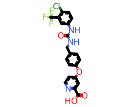 O=C(NCc1ccc(Oc2ccnc(C(=O)O)c2)cc1)Nc1ccc(Cl)c(C(F)(F)F)c1